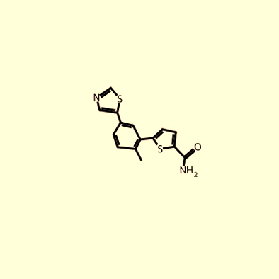 Cc1ccc(-c2cncs2)cc1-c1ccc(C(N)=O)s1